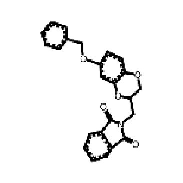 O=C1c2ccccc2C(=O)N1CC1COc2ccc(OCc3ccccc3)cc2O1